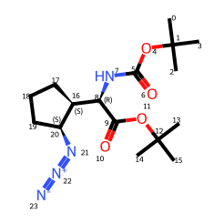 CC(C)(C)OC(=O)N[C@@H](C(=O)OC(C)(C)C)[C@@H]1CCC[C@@H]1N=[N+]=[N-]